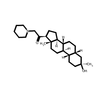 C[C@]1(O)CC[C@H]2[C@H](CC[C@@H]3[C@@H]2CC[C@]2(C)[C@@H](C(=O)CN4CCCCC4)CC[C@@H]32)C1